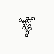 c1ccc(-c2nc(-c3cccc(-n4c5cc6ccccc6cc5c5ccc6ccccc6c54)c3)nc(-c3ccc(-c4ccccc4)c4ccccc34)n2)cc1